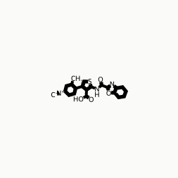 [C-]#[N+]c1ccc(-c2csc(NC(=O)c3nc4ccccc4o3)c2C(=O)O)c(C)c1